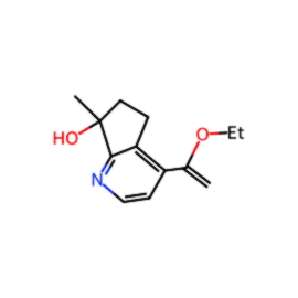 C=C(OCC)c1ccnc2c1CCC2(C)O